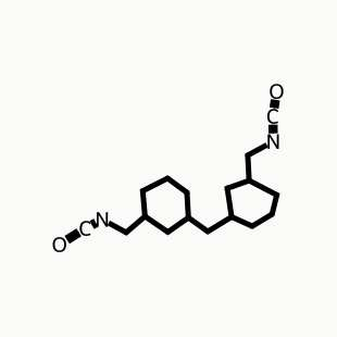 O=C=NCC1CCCC(CC2CCCC(CN=C=O)C2)C1